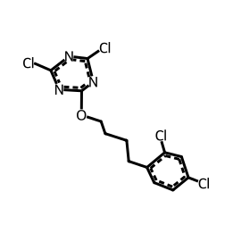 Clc1ccc(CCCCOc2nc(Cl)nc(Cl)n2)c(Cl)c1